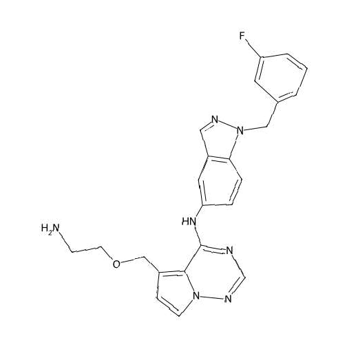 NCCOCc1ccn2ncnc(Nc3ccc4c(cnn4Cc4cccc(F)c4)c3)c12